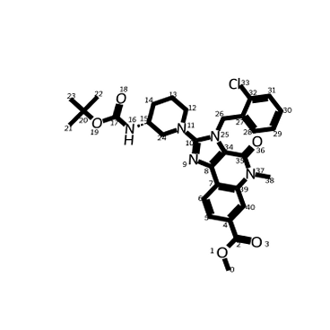 COC(=O)c1ccc2c3nc(N4CCC[C@@H](NC(=O)OC(C)(C)C)C4)n(Cc4ccccc4Cl)c3c(=O)n(C)c2c1